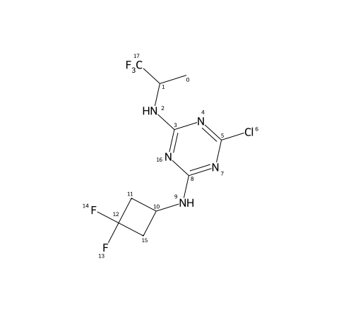 CC(Nc1nc(Cl)nc(NC2CC(F)(F)C2)n1)C(F)(F)F